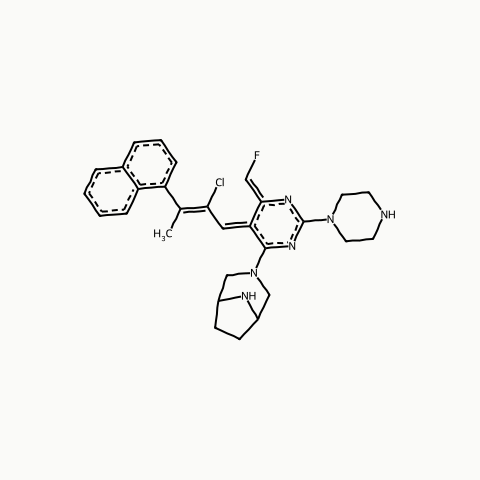 C\C(=C(Cl)/C=c1/c(N2CC3CCC(C2)N3)nc(N2CCNCC2)n/c1=C\F)c1cccc2ccccc12